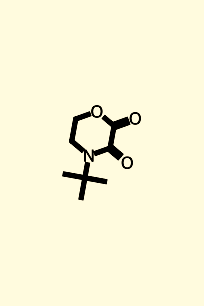 CC(C)(C)N1CCOC(=O)C1=O